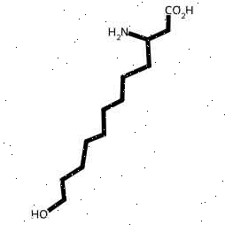 NC(CCCCCCCCCO)CC(=O)O